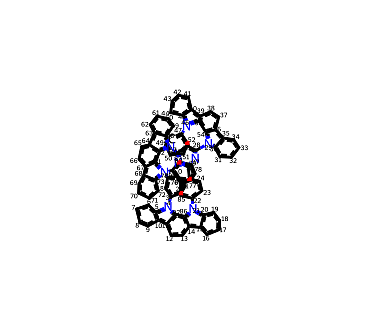 c1ccc(-n2c3ccccc3c3ccc4c5ccccc5n(-c5ccc(-c6nc(-n7c8ccccc8c8ccc9c%10ccccc%10n(-c%10ccccc%10)c9c87)cc(-n7c8ccccc8c8ccc9c%10ccccc%10n(-c%10ccccc%10)c9c87)n6)cc5)c4c32)cc1